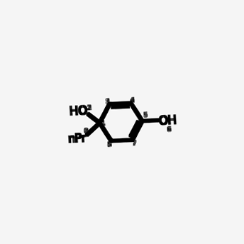 CCCC1(O)C=CC(O)=CC1